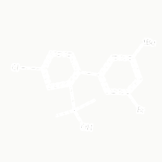 CC(C)(C)c1cc(Br)cc(-c2ccc(Cl)cc2C(C)(C)O)c1